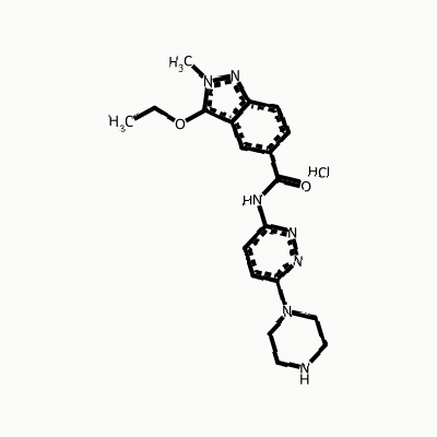 CCOc1c2cc(C(=O)Nc3ccc(N4CCNCC4)nn3)ccc2nn1C.Cl